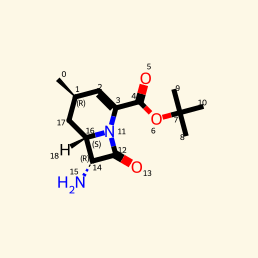 C[C@H]1C=C(C(=O)OC(C)(C)C)N2C(=O)[C@H](N)[C@@H]2C1